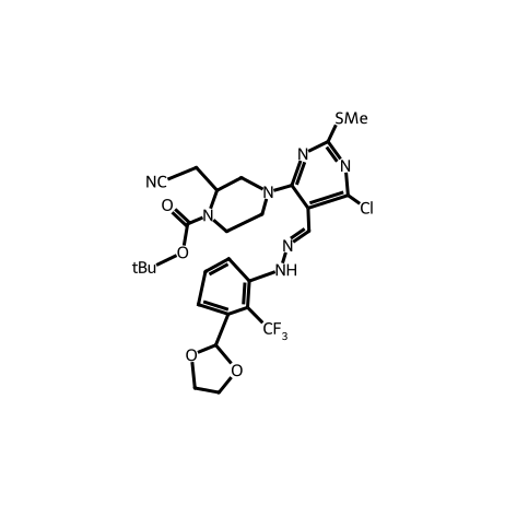 CSc1nc(Cl)c(/C=N/Nc2cccc(C3OCCO3)c2C(F)(F)F)c(N2CCN(C(=O)OC(C)(C)C)C(CC#N)C2)n1